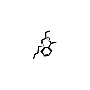 CC(O)c1ccccc1.CCCCOCCCC